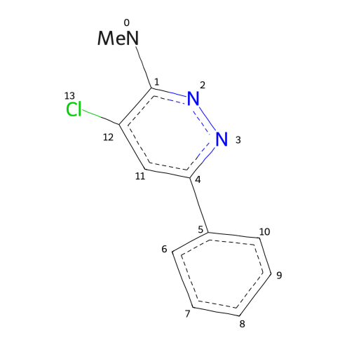 CNc1nnc(-c2ccccc2)cc1Cl